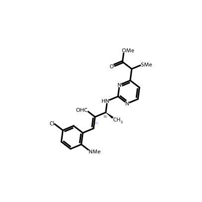 CNc1ccc(Cl)cc1/C=C(\C=O)[C@H](C)Nc1nccc(C(SC)C(=O)OC)n1